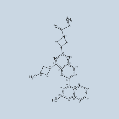 C=CC(=O)N1CC(c2nc(C3CN(C)C3)c3cc(-c4cc(O)cc5ccccc45)ccc3n2)C1